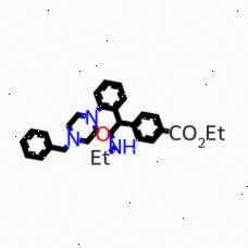 CCNC(=O)C(c1ccc(C(=O)OCC)cc1)c1ccccc1N1CCN(Cc2ccccc2)CC1